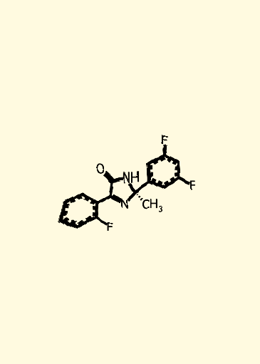 C[C@]1(c2cc(F)cc(F)c2)N=C(c2ccccc2F)C(=O)N1